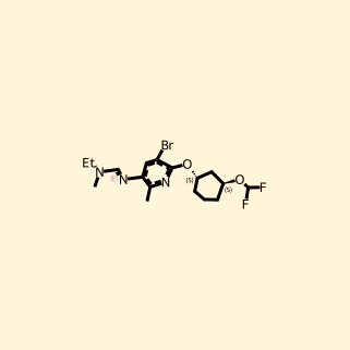 CCN(C)/C=N/c1cc(Br)c(O[C@H]2CCC[C@H](OC(F)F)C2)nc1C